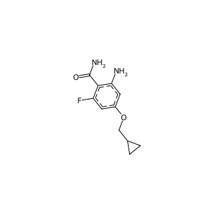 NC(=O)c1c(N)cc(OCC2CC2)cc1F